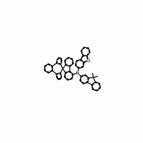 CC1(C)c2ccccc2-c2ccc(N(c3ccc4c(c3)oc3ccccc34)c3cccc4c3-c3ccccc3C43c4ccccc4-c4ccccc4-c4ccccc43)cc21